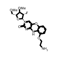 COC[C@H]1O[C@@H](n2cc3c(nc2=O)Nc2c(OCCN)cccc2O3)[C@@H](F)C1OC